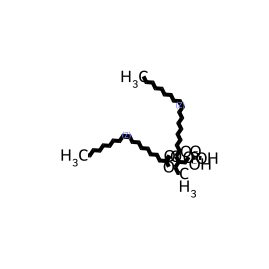 CCCCCCCC/C=C\CCCCCCCC(=O)OC(CC)C(COP(=O)(O)O)OC(=O)CCCCCCC/C=C\CCCCCCCC